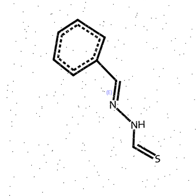 S=CN/N=C/c1ccccc1